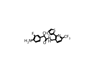 CC(C(=O)NCc1ccc(C(F)(F)F)nc1-c1cccs1)c1ccc(N)c(F)c1